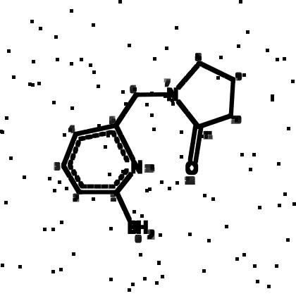 Bc1cccc(CN2CCCC2=O)n1